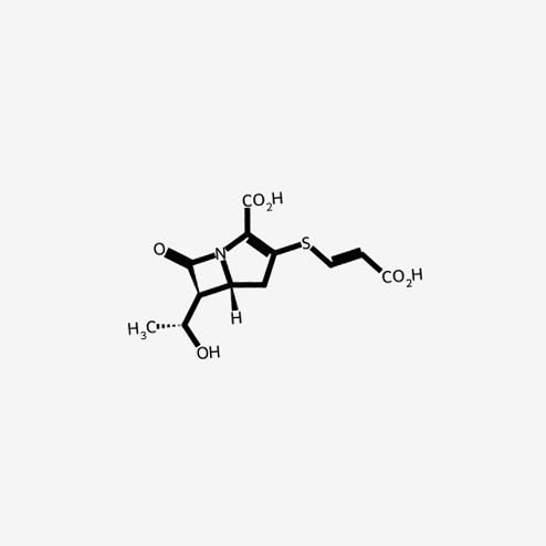 C[C@@H](O)[C@H]1C(=O)N2C(C(=O)O)=C(SC=CC(=O)O)C[C@H]12